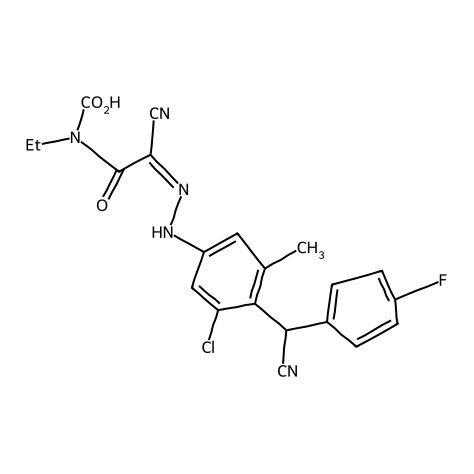 CCN(C(=O)O)C(=O)C(C#N)=NNc1cc(C)c(C(C#N)c2ccc(F)cc2)c(Cl)c1